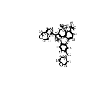 O=S1(=O)Cc2c(-c3ncc4n3CCOC4)nn(-c3ccc(CN4CCOCC4)cc3)c2-c2cccc(C(F)(F)F)c21